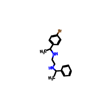 CC(NCCNC(C)c1ccc(Br)cc1)c1ccccc1